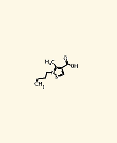 CCCCn1ncc(C(=O)O)c1C